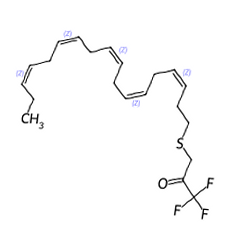 CC/C=C\C/C=C\C/C=C\C/C=C\C/C=C\CCSCC(=O)C(F)(F)F